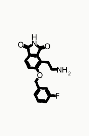 NCCc1c(OCc2cccc(F)c2)ccc2c1C(=O)NC2=O